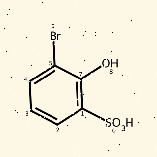 O=S(=O)(O)c1cccc(Br)c1O